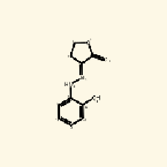 O=C1OCCC1=NNc1ccccc1O